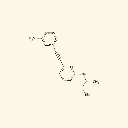 C=C(Nc1cccc(C#Cc2cccc(N)c2)n1)OC(C)(C)C